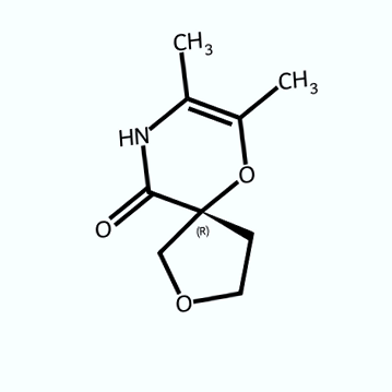 CC1=C(C)O[C@@]2(CCOC2)C(=O)N1